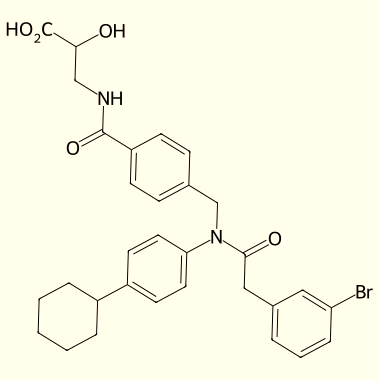 O=C(NCC(O)C(=O)O)c1ccc(CN(C(=O)Cc2cccc(Br)c2)c2ccc(C3CCCCC3)cc2)cc1